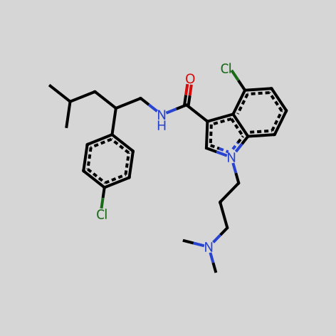 CC(C)CC(CNC(=O)c1cn(CCCN(C)C)c2cccc(Cl)c12)c1ccc(Cl)cc1